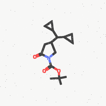 CC(C)(C)OC(=O)N1CC(C(C2CC2)C2CC2)CC1=O